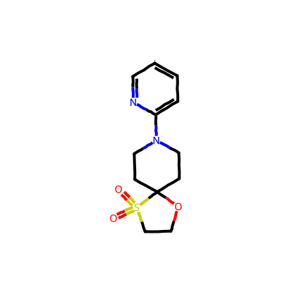 O=S1(=O)CCOC12CCN(c1cc[c]cn1)CC2